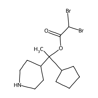 CC(OC(=O)C(Br)Br)(C1CCCC1)C1CCNCC1